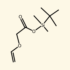 C=COCC(=O)O[Si](C)(C)C(C)(C)C